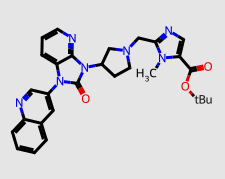 Cn1c(C(=O)OC(C)(C)C)cnc1CN1CCC(n2c(=O)n(-c3cnc4ccccc4c3)c3cccnc32)C1